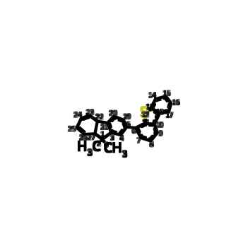 CC1(C)c2cc(-c3cccc4c3sc3ccccc34)ccc2C2C=CC=CC21